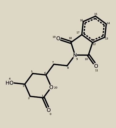 O=C1CC(O)CC(CCN2C(=O)c3ccccc3C2=O)O1